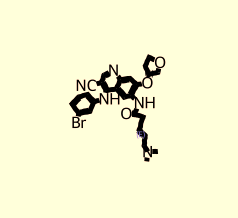 CN(C)C/C=C/CC(=O)Nc1cc2c(Nc3cccc(Br)c3)c(C#N)cnc2cc1O[C@H]1CCOC1